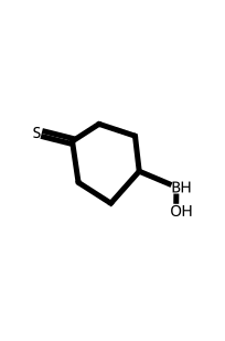 OBC1CCC(=S)CC1